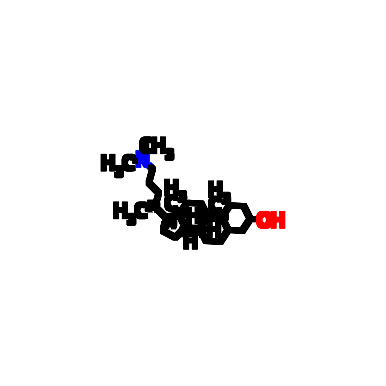 C[C@H](CCCN(C)C)[C@H]1CC[C@H]2[C@@H]3CCC4CC(O)CC[C@]4(C)[C@H]3CC[C@]12C